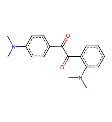 CN(C)c1ccc(C(=O)C(=O)c2ccccc2N(C)C)cc1